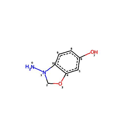 NN1COc2cc(O)ccc21